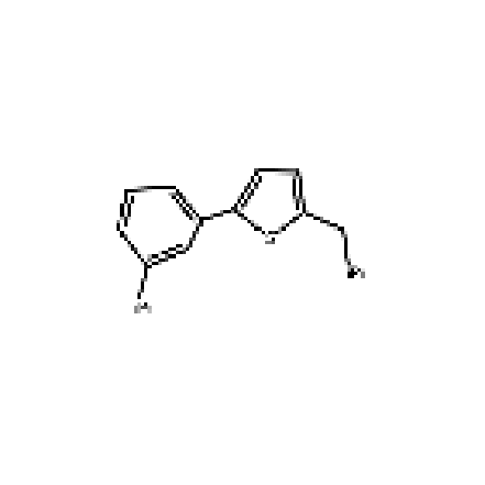 CC(C)Cc1ccc(-c2cccc(C(C)C)c2)s1